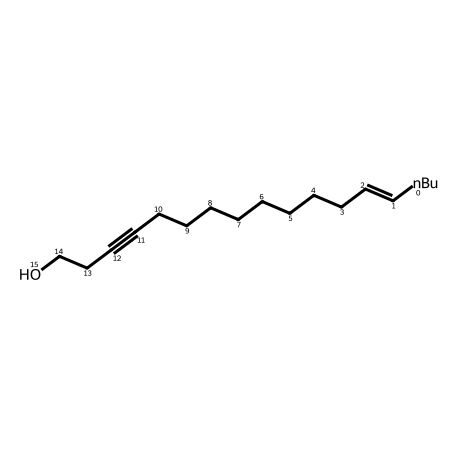 CCCCC=CCCCCCCCCC#CCCO